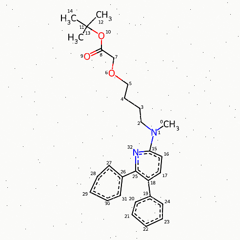 CN(CCCCOCC(=O)OC(C)(C)C)c1ccc(-c2ccccc2)c(-c2ccccc2)n1